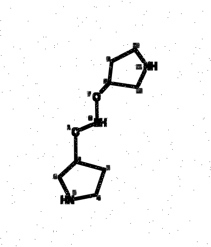 B(OC1CCNC1)OC1CCNC1